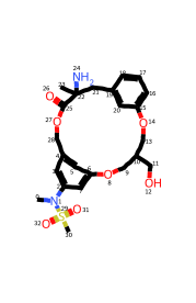 CN(c1cc2cc(c1)OCC(CO)COc1cccc(c1)CC(C)(N)C(=O)OC2)S(C)(=O)=O